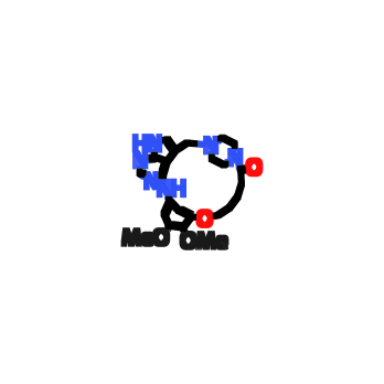 COc1cc2cc(c1OC)OCCCCC(=O)N1CCN(CC1)Cc1c[nH]c3ncnc(c13)N2